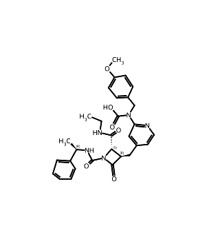 CCNC(=O)[C@@H]1[C@@H](Cc2ccnc(N(Cc3ccc(OC)cc3)C(=O)O)c2)C(=O)N1C(=O)N[C@H](C)c1ccccc1